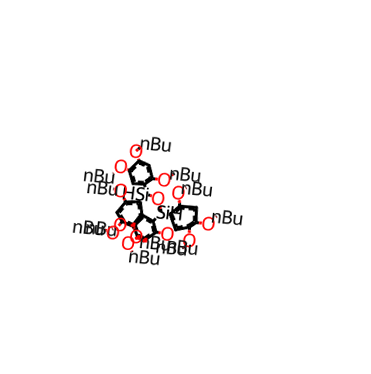 CCCCOc1cc(OCCCC)c([SiH](O[SiH](c2cc(OCCCC)c(OCCCC)cc2OCCCC)c2cc(OCCCC)c(OCCCC)cc2OCCCC)c2cc(OCCCC)c(OCCCC)cc2OCCCC)cc1OCCCC